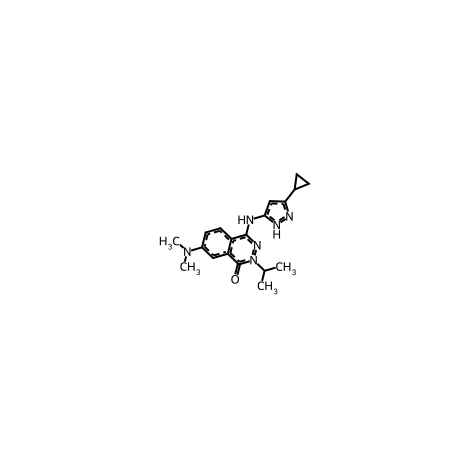 CC(C)n1nc(Nc2cc(C3CC3)n[nH]2)c2ccc(N(C)C)cc2c1=O